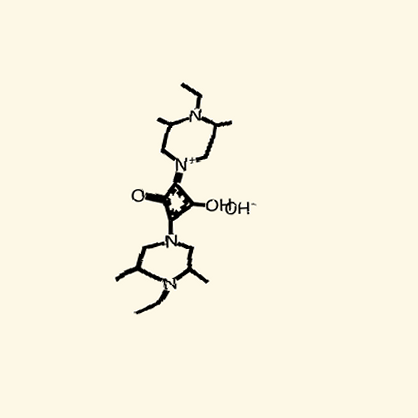 CCN1C(C)CN(c2c(O)c(=[N+]3CC(C)N(CC)C(C)C3)c2=O)CC1C.[OH-]